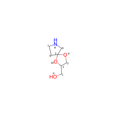 OCC1COC2(CCNC2)O1